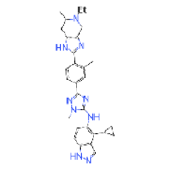 CCN1Cc2nc(-c3ccc(-c4nc(Nc5ccc6[nH]ncc6c5C5CC5)n(C)n4)cc3C)[nH]c2CC1C